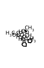 COC1C[C@@H]2[C@H](O1)[C@H](OC(C)=O)C[C@H]2O[Si](c1ccccc1)(c1ccccc1)C(C)(C)C